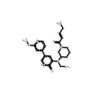 CCN(c1cc(-c2ccnc(OC)c2)c[nH]c1=O)C1CCCN(C(=O)/C=C/CN)C1